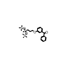 C[Si](C)(C)O[Si](C)(CCCOc1cccc(C(=O)c2ccccc2)c1)O[Si](C)(C)C